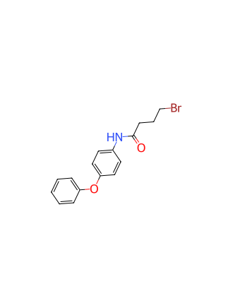 O=C(CCCBr)Nc1ccc(Oc2ccccc2)cc1